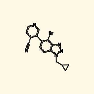 N#Cc1ccncc1-c1ccc2c(nnn2CC2CC2)c1Br